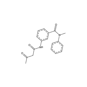 CC(=O)CC(=O)Nc1cccc(C(=O)N(C)c2ccccc2)c1